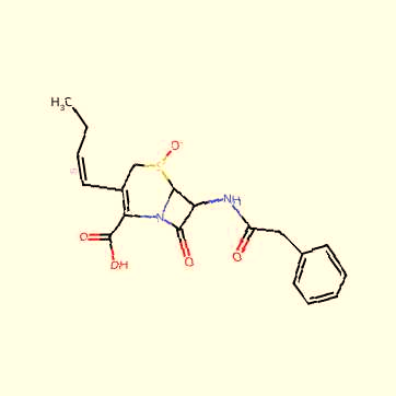 CC/C=C\C1=C(C(=O)O)N2C(=O)C(NC(=O)Cc3ccccc3)C2[S+]([O-])C1